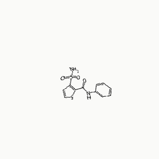 NS(=O)(=O)c1ccsc1C(=O)Nc1ccccc1